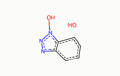 On1nnc2ccccc21.[OH]